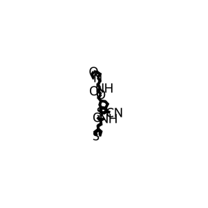 N#Cc1c(NC(=O)C=Cc2ccsc2)sc2c1CCC(COC(=O)NCCN1CCOCC1)C2